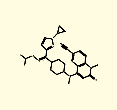 CN(c1cc(=O)n(C)c2ccc(C#N)nc12)C1CCC(/C(=N/OC(F)F)c2ccn(C3CC3)n2)CC1